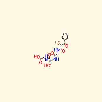 O=C(O)CNC(=O)[C@@H](CO)NC(=O)CNC(=O)C(S)C(=O)c1ccccc1